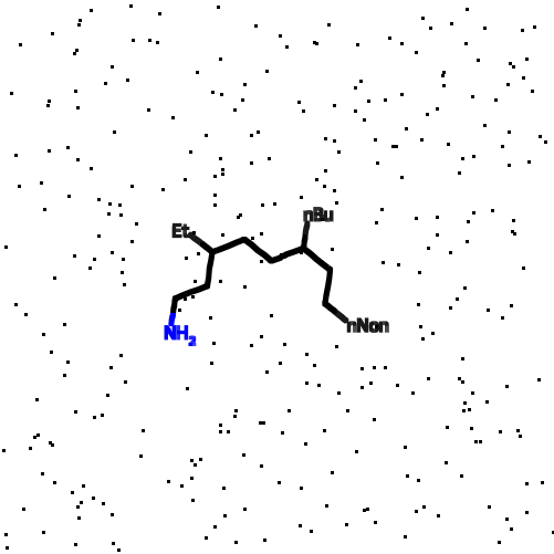 CCCCCCCCCCCC(CCCC)CCC(CC)CCN